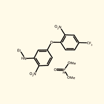 CCNc1cc(Oc2ccc(C(F)(F)F)cc2[N+](=O)[O-])ccc1[N+](=O)[O-].CO[PH](=O)OC